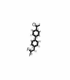 CC(=O)c1ccc(-c2ccc(CC(F)F)cc2)cc1